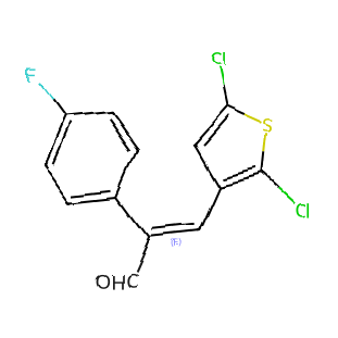 O=C/C(=C/c1cc(Cl)sc1Cl)c1ccc(F)cc1